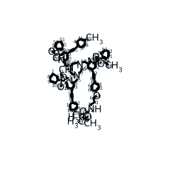 CCOP(=O)(c1ccccc1)c1cc(C#Cc2ccc(C)cc2)cc(CN2CCN(Cc3cc(C#Cc4ccc(C)cc4)cc(P(C)(=O)c4ccccc4)n3)CCN(Cc3cc(C#Cc4ccc(OCCCNC(=O)OC(C)(C)C)cc4)cc(P(=O)(OCC)c4ccccc4)n3)CC2)n1